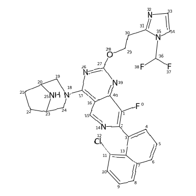 Fc1c(-c2cccc3cccc(Cl)c23)ncc2c(N3CC4CCC(C3)N4)nc(OCCc3nccn3C(F)F)nc12